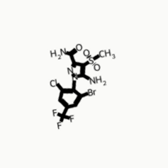 CS(=O)(=O)c1c(C(N)=O)nn(-c2c(Cl)cc(C(F)(F)F)cc2Br)c1N